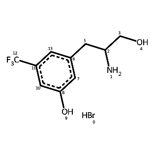 Br.NC(CO)Cc1cc(O)cc(C(F)(F)F)c1